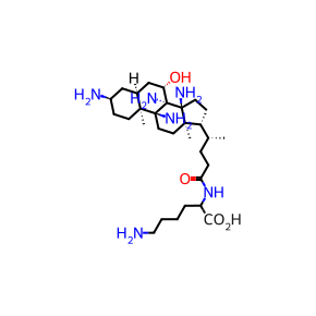 C[C@H](CCC(=O)NC(CCCCN)C(=O)O)[C@H]1CC[C@@]2(N)[C@]3(N)[C@@H](O)C[C@@H]4C[C@H](N)CC[C@]4(C)[C@@]3(N)CC[C@]12C